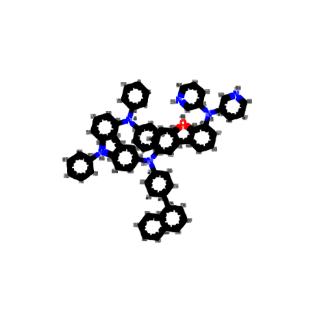 c1ccc(N(c2ccccc2)c2cccc3c2c2cc(N(c4ccc(-c5cccc6ccccc56)cc4)c4ccc5oc6c(N(c7cccnc7)c7cccnc7)cccc6c5c4)ccc2n3-c2ccccc2)cc1